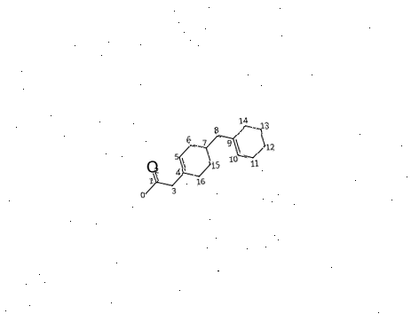 CC(=O)CC1=CCC(CC2=CCCCC2)CC1